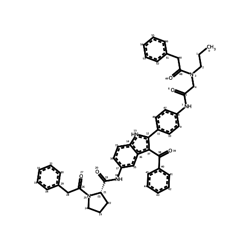 CCCN(CC(=O)Nc1ccc(-c2[nH]c3ccc(NC(=O)[C@@H]4CCCN4C(=O)Cc4ccccc4)cc3c2C(=O)c2ccccc2)cc1)C(=O)Cc1ccccc1